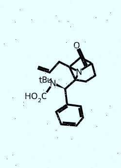 C=CCN1C(=O)C2CCC1([C@@H](c1ccccc1)N(C(=O)O)C(C)(C)C)CC2